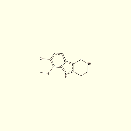 CSc1c(Cl)ccc2c3c([nH]c12)CCNC3